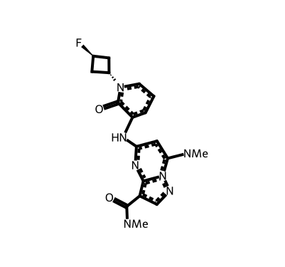 CNC(=O)c1cnn2c(NC)cc(Nc3cccn([C@H]4C[C@H](F)C4)c3=O)nc12